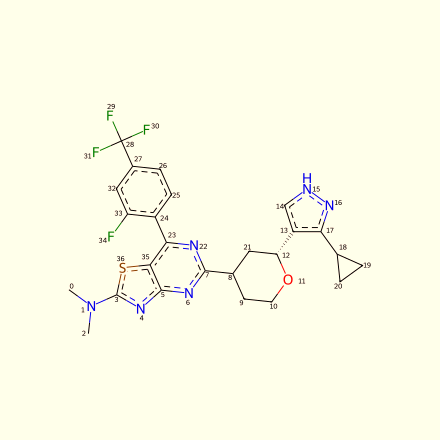 CN(C)c1nc2nc(C3CCO[C@@H](c4c[nH]nc4C4CC4)C3)nc(-c3ccc(C(F)(F)F)cc3F)c2s1